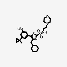 CC(C)(C)c1cc(-c2sc(S(=O)(=O)NCCN3CCOCC3)nc2CC2CCCCC2)cc(C2(C)CC2)c1